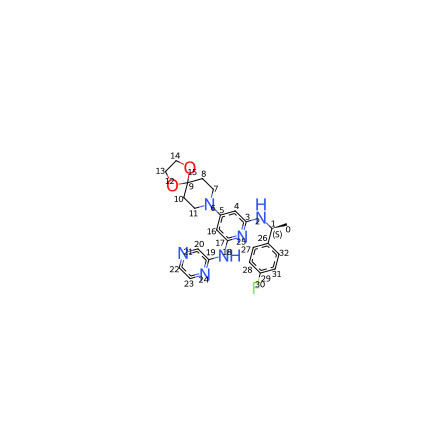 C[C@H](Nc1cc(N2CCC3(CC2)OCCO3)cc(Nc2cnccn2)n1)c1ccc(F)cc1